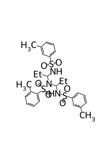 CCC(NS(=O)(=O)c1cccc(C)c1)N(C(CC)NS(=O)(=O)c1cccc(C)c1)S(=O)(=O)c1ccccc1C